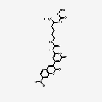 CCN(CC)c1ccc2cc(-c3cc(=O)[nH]c(NC(=O)NCCCCC(NC(=O)OC(C)(C)C)C(=O)O)n3)c(=O)oc2c1